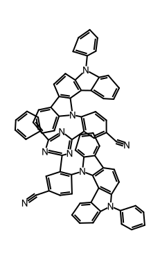 N#Cc1ccc(-n2c3ccccc3c3ccc4c(c5ccccc5n4-c4ccccc4)c32)c(-c2nc(-c3ccccc3)nc(-c3cc(C#N)ccc3-n3c4ccccc4c4ccc5c(c6ccccc6n5-c5ccccc5)c43)n2)c1